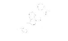 Cc1cc(Cn2c(C)c(C(=O)O)c3c([C@@H](c4cccc(F)c4C(N)=O)C4CCC4)ccc(F)c3c2=O)nn1C